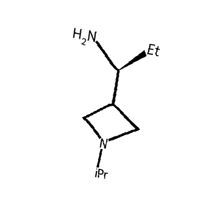 CC[C@H](N)C1CN(C(C)C)C1